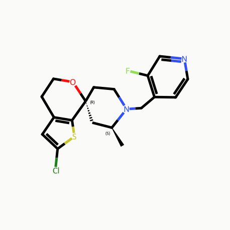 C[C@H]1C[C@@]2(CCN1Cc1ccncc1F)OCCc1cc(Cl)sc12